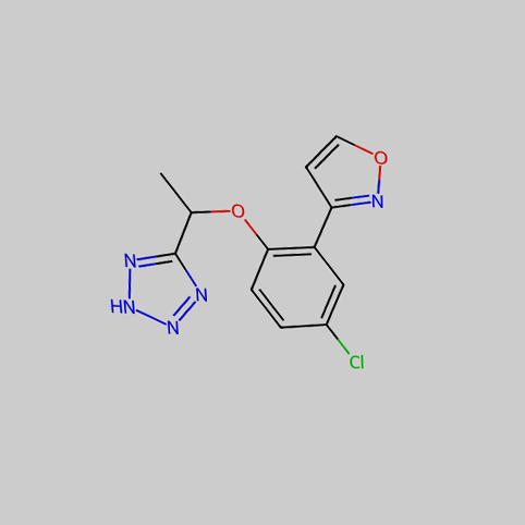 CC(Oc1ccc(Cl)cc1-c1ccon1)c1nn[nH]n1